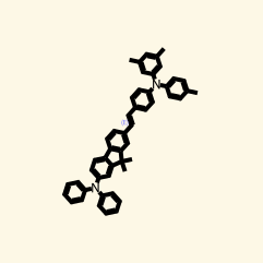 Cc1ccc(N(c2ccc(/C=C/c3ccc4c(c3)C(C)(C)c3cc(N(c5ccccc5)c5ccccc5)ccc3-4)cc2)c2cc(C)cc(C)c2)cc1